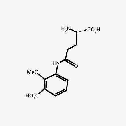 COc1c(NC(=O)CC[C@H](N)C(=O)O)cccc1C(=O)O